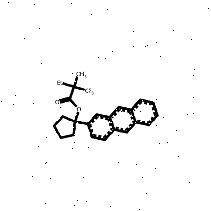 CCC(C)(C(=O)OC1(c2ccc3cc4ccccc4cc3c2)CCCC1)C(F)(F)F